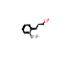 CCOC(=O)c1ccccc1CCCO